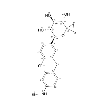 CCNc1ccc(Cc2cc([C@@H]3OC4(CC4)[C@@H](O)[C@H](O)[C@H]3O)ccc2Cl)cc1